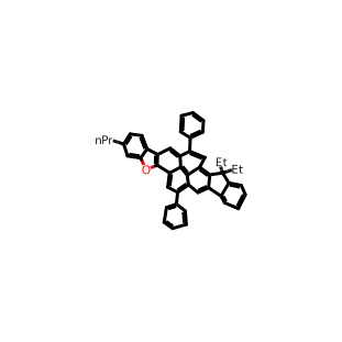 CCCc1ccc2c(c1)oc1c2cc2c(-c3ccccc3)cc3c4c(cc5c(-c6ccccc6)cc1c2c53)-c1ccccc1C4(CC)CC